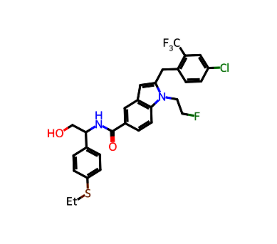 CCSc1ccc(C(CO)NC(=O)c2ccc3c(c2)cc(Cc2ccc(Cl)cc2C(F)(F)F)n3CCF)cc1